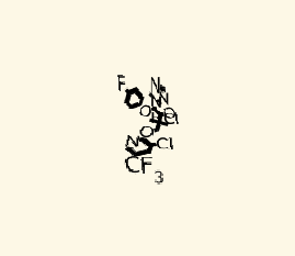 CC(C)(COc1ncc(C(F)(F)F)cc1Cl)C(=O)C(Oc1ccc(F)cc1)n1cncn1.Cl